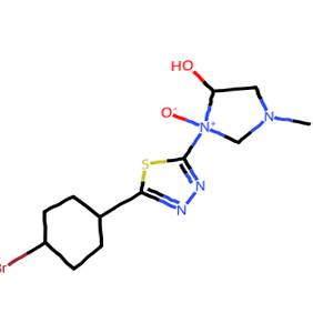 CN1CC(O)[N+]([O-])(c2nnc(C3CCC(Br)CC3)s2)C1